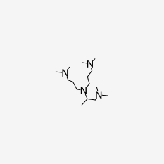 CC(CN(C)C)N(CCCN(C)C)CCCN(C)C